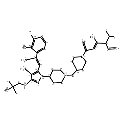 CC(C)C(C=O)/C(O)=C/C(=N)N1CCC(CN2CCC(n3nc(NCC(C)(C)O)c(N)c3/C=C(\N)c3cccc(F)c3O)CC2)CC1